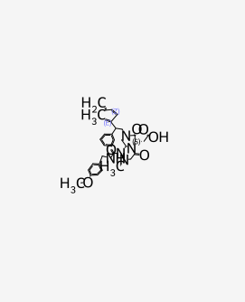 C=C/C=C\C(=C/C)C(CN1CC2N(C(=O)CN(C)N2C(=O)NCc2ccc(OC)cc2)[C@@H](CC(=O)O)C1=O)c1ccccc1